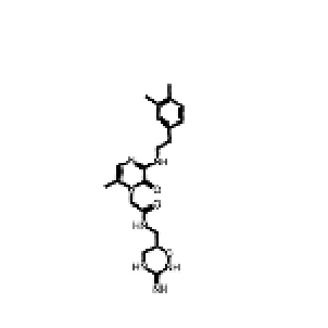 Cc1ccc(CCNc2ncc(C)n(CC(=O)NCC3CNC(=N)NO3)c2=O)cc1C